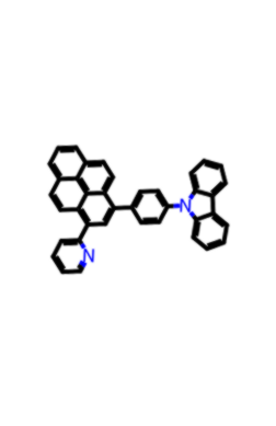 c1ccc(-c2cc(-c3ccc(-n4c5ccccc5c5ccccc54)cc3)c3ccc4cccc5ccc2c3c45)nc1